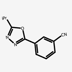 CC(C)c1nnc(-c2cccc(C#N)c2)o1